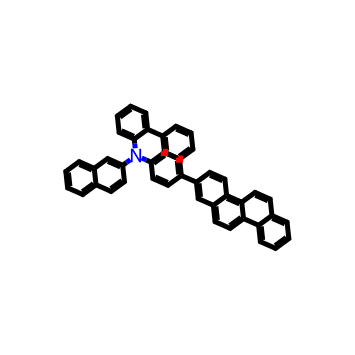 c1ccc(-c2ccccc2N(c2ccc(-c3ccc4c(ccc5c6ccccc6ccc45)c3)cc2)c2ccc3ccccc3c2)cc1